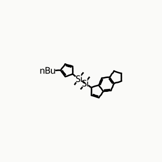 CCCCC1=CC([Si](C)(C)[Si](C)(C)C2C=Cc3cc4c(cc32)CCC4)C=C1